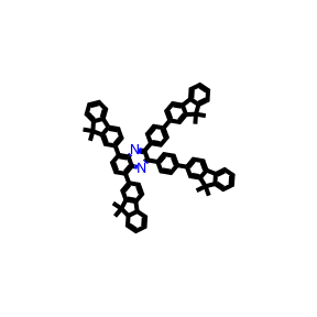 CC1(C)c2ccccc2-c2ccc(-c3ccc(-c4nc5c(-c6ccc7c(c6)C(C)(C)c6ccccc6-7)ccc(-c6ccc7c(c6)C(C)(C)C6C=CC=CC76)c5nc4-c4ccc(-c5ccc6c(c5)C(C)(C)c5ccccc5-6)cc4)cc3)cc21